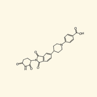 O=C1CCC(N2C(=O)c3ccc(C4CCN(c5ccc(C(=O)O)cc5)CC4)cc3C2=O)C(=O)N1